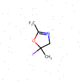 CC1(I)CN=C(C(F)(F)F)O1